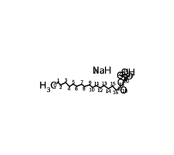 CCCCCCCCCCCCCCCCCC(=O)OCS(=O)(=O)O.[NaH]